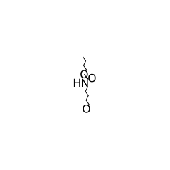 CCCCOC(=O)NCCCCC=O